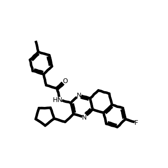 Cc1ccc(CC(=O)Nc2nc3c(nc2CC2CCCC2)-c2ccc(F)cc2CC3)cc1